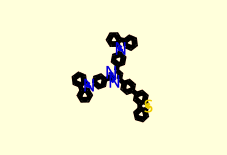 c1ccc2c(c1)sc1ccc(-c3ccc(-c4cc(-c5ccc(-n6c7ccccc7c7ccccc76)cc5)nc(-c5ccc(-n6c7ccccc7c7ccccc76)cc5)n4)cc3)cc12